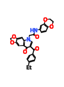 CCc1ccc(C(=O)c2cn(CC(=O)Nc3ccc4c(c3)OCCO4)c3cc4c(cc3c2=O)OCO4)cc1